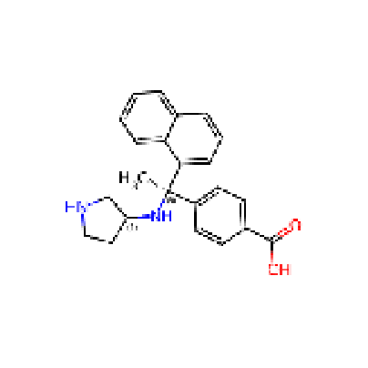 C[C@@](N[C@H]1CCNC1)(c1ccc(C(=O)O)cc1)c1cccc2ccccc12